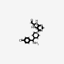 NC(c1ccc(Cl)cc1)C1CCN(c2ncnc3c2NC(C=O)N3)CC1